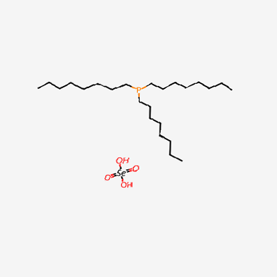 CCCCCCCCP(CCCCCCCC)CCCCCCCC.O=[Se](=O)(O)O